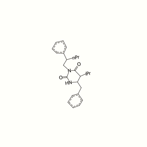 CCCC(CN1C(=O)NC(Cc2ccccc2)C(C(C)C)C1=O)c1ccccc1